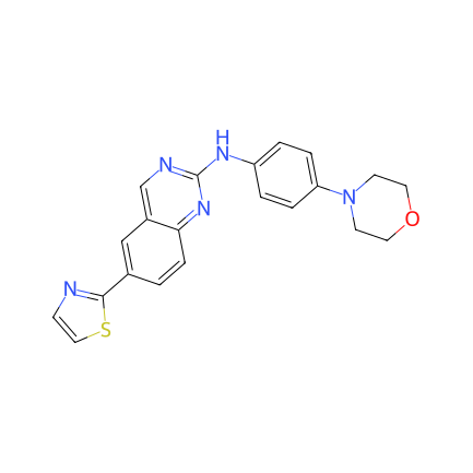 c1csc(-c2ccc3nc(Nc4ccc(N5CCOCC5)cc4)ncc3c2)n1